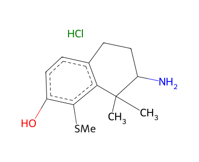 CSc1c(O)ccc2c1C(C)(C)C(N)CC2.Cl